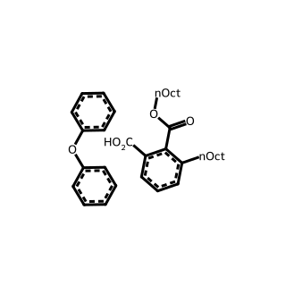 CCCCCCCCOC(=O)c1c(CCCCCCCC)cccc1C(=O)O.c1ccc(Oc2ccccc2)cc1